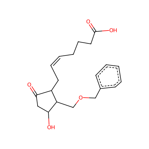 O=C(O)CCC/C=C\CC1C(=O)CC(O)C1COCc1ccccc1